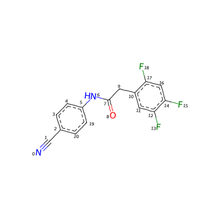 N#Cc1ccc(NC(=O)Cc2cc(F)c(F)cc2F)cc1